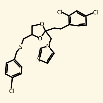 Clc1ccc(CSCC2COC(CCc3ccc(Cl)cc3Cl)(Cn3ccnc3)O2)cc1